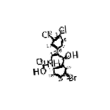 O=C(O)NCC(c1ccc(Cl)c(Cl)c1)C(O)c1cccc(Br)c1